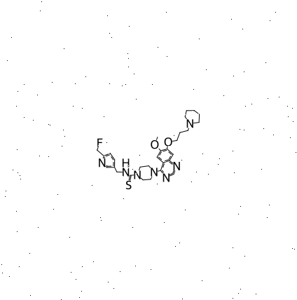 COc1cc2c(N3CCN(C(=S)NCc4ccc(CF)nc4)CC3)ncnc2cc1OCCCN1CCCCC1